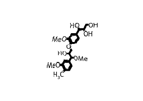 COc1cc(C(OC)C(O)COc2ccc(C(O)C(O)CO)cc2OC)ccc1C